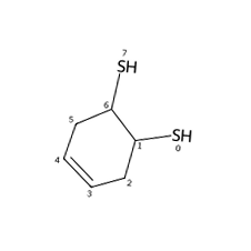 SC1CC=CCC1S